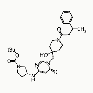 CC(CC(=O)N1CCC(O)(Cn2cnc(N[C@@H]3CCN(C(=O)OC(C)(C)C)C3)cc2=O)CC1)c1ccccc1